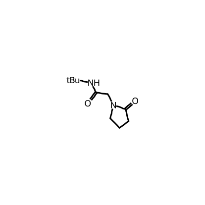 CC(C)(C)NC(=O)CN1CCCC1=O